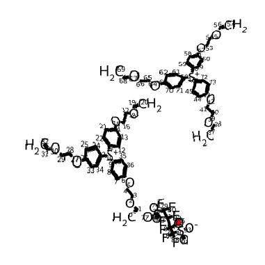 C=COCCOc1ccc([S+](c2ccc(OCCOC=C)cc2)c2ccc(OCCOC=C)cc2)cc1.C=COCCOc1ccc([S+](c2ccc(OCCOC=C)cc2)c2ccc(OCCOC=C)cc2)cc1.O=S(=O)([O-])C(F)(F)C(F)(F)C(F)(F)C(F)(F)S(=O)(=O)[O-]